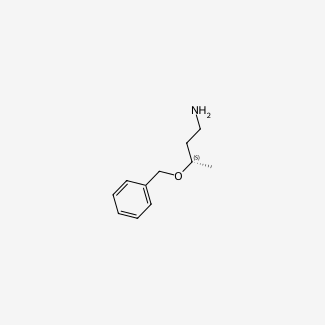 C[C@@H](CCN)OCc1ccccc1